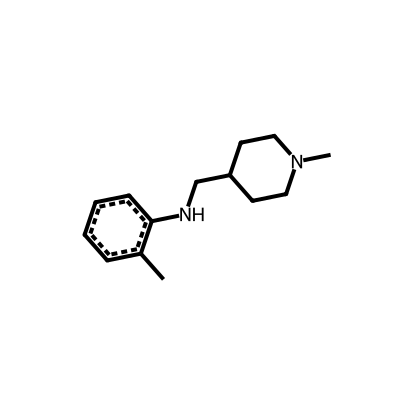 Cc1ccccc1NCC1CCN(C)CC1